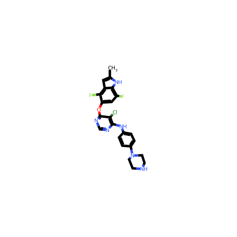 Cc1cc2c(F)c(Oc3ncnc(Nc4ccc(N5CCNCC5)cc4)c3Cl)cc(F)c2[nH]1